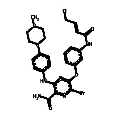 CC(C)c1nc(C(N)=O)c(Nc2ccc(N3CCN(C)CC3)cc2)nc1Oc1cccc(NC(=O)C=CCCl)c1